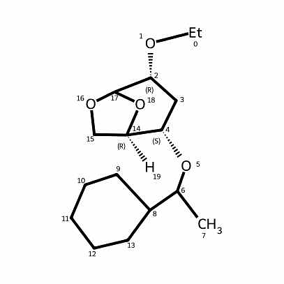 CCO[C@@H]1C[C@H](OC(C)C2CCCCC2)[C@H]2COC1O2